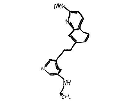 C=CNc1cncc(CCc2ccc3ccc(NC)nc3c2)c1